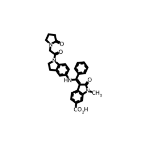 CN1C(=O)C(=C(Nc2ccc3c(c2)CCN3C(=O)CN2CCCC2=O)c2ccccc2)c2ccc(C(=O)O)cc21